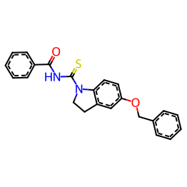 O=C(NC(=S)N1CCc2cc(OCc3ccccc3)ccc21)c1ccccc1